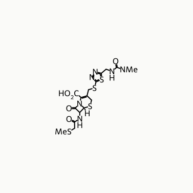 CNC(=O)NCc1nnc(SCC2=C(C(=O)O)N3C(=O)C(NC(=O)CSC)[C@H]3SC2)s1